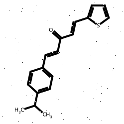 CC(C)c1ccc(/C=C/C(=O)/C=C/c2cccs2)cc1